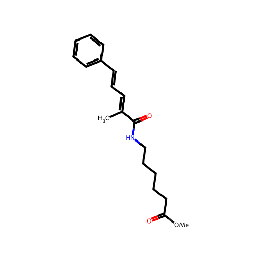 COC(=O)CCCCCNC(=O)/C(C)=C/C=C/c1ccccc1